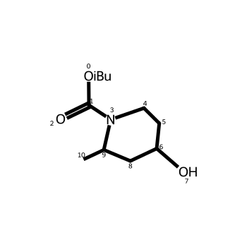 CC(C)COC(=O)N1CCC(O)CC1C